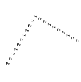 [Fe].[Fe].[Fe].[Fe].[Fe].[Fe].[Fe].[Fe].[Fe].[Fe].[Fe].[Fe].[Fe].[Fe].[Fe].[Fe].[Fe].[Fe].[Fe].[Fe]